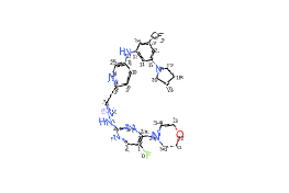 Fc1cnc(N/N=C/c2ccc(Nc3cc(N4CCCC4)cc(C(F)(F)F)c3)cn2)nc1N1CCOCC1